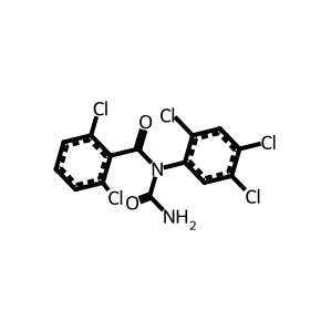 NC(=O)N(C(=O)c1c(Cl)cccc1Cl)c1cc(Cl)c(Cl)cc1Cl